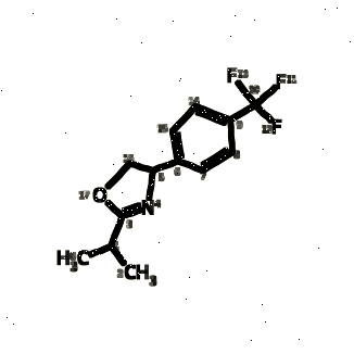 CC(C)C1=NC(c2ccc(C(F)(F)F)cc2)CO1